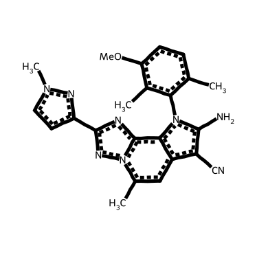 COc1ccc(C)c(-n2c(N)c(C#N)c3cc(C)n4nc(-c5ccn(C)n5)nc4c32)c1C